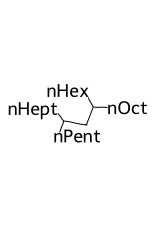 CCCCCCCCC(CCCCCC)CC(CCCCC)CCCCCCC